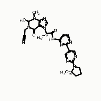 C[C@H]1CCCN1c1ncc(-c2nccc(NC(=O)[C@H](C)n3cnc4c3C(=O)N(CC#N)C(O)N4C)n2)cn1